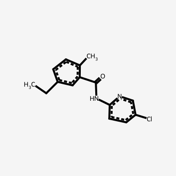 CCc1ccc(C)c(C(=O)Nc2ccc(Cl)cn2)c1